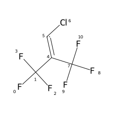 FC(F)(F)C(=[C]Cl)C(F)(F)F